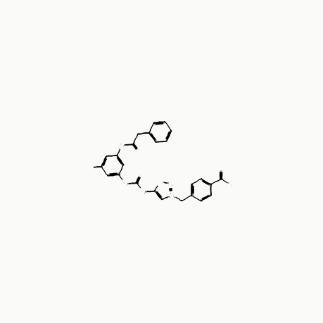 NC(=O)c1ccc(C[n+]2cc([N-]C(=O)Nc3cc(NC(=O)Cc4ccccc4)cc(C(F)(F)F)c3)on2)cc1